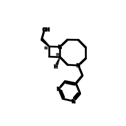 OC[C@@H]1C[C@@H]2CN(Cc3cncnc3)CCCCN12